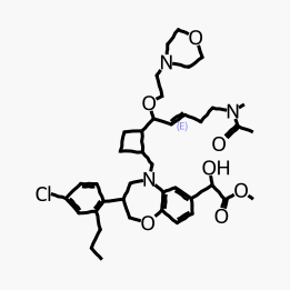 CCCc1cc(Cl)ccc1C1COc2ccc(C(O)C(=O)OC)cc2N(CC2CCC2C(/C=C/CCN(C)C(C)=O)OCCN2CCOCC2)C1